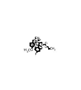 C=CCOC(=O)N1CC(S(=O)(=O)N(C)Cc2ccc(OC)cc2)C(N)(c2ccc(F)cc2F)C1